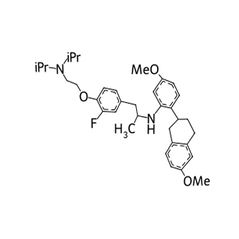 COc1ccc2c(c1)CCC(c1ccc(OC)cc1NC(C)Cc1ccc(OCCN(C(C)C)C(C)C)c(F)c1)C2